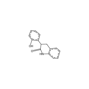 O=C1Nc2ccccc2CC1c1ccccc1O